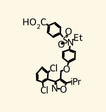 CCN(c1ccc(OCc2c(-c3c(Cl)cccc3Cl)noc2C(C)C)cc1)S(=O)(=O)c1ccc(C(=O)O)cc1